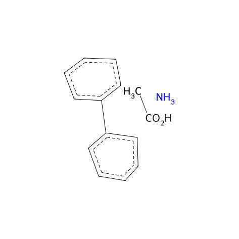 CC(=O)O.N.c1ccc(-c2ccccc2)cc1